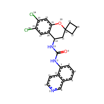 O=C(Nc1cccc2cnccc12)NC1CC2(CCC2)Oc2cc(Cl)c(Cl)cc21